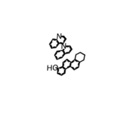 Oc1cccc2c1ccc1c3c(ccc12)CCCC3.c1ccc2ncccc2c1.c1ccc2ncccc2c1